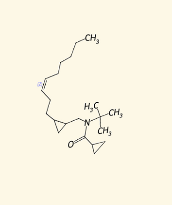 CCCCC/C=C\CCC1CC1CN(C(=O)C1CC1)C(C)(C)C